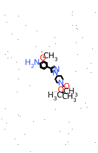 COc1cc(-c2cnn(C3CCN(C(=O)OC(C)(C)C)CC3)c2)ccc1N